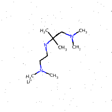 CN(C)CC[N-]C(C)(C)CN(C)C.[Li+]